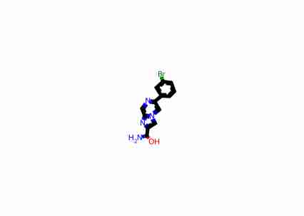 NC(O)c1cn2cc(-c3cccc(Br)c3)ncc2n1